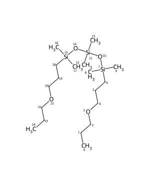 CCCOCCC[Si](C)(C)O[Si](C)(C)O[Si](C)(C)CCCOCCC